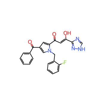 O=C(c1ccccc1)c1cc(C(=O)C=C(O)c2nc[nH]n2)n(Cc2ccccc2F)c1